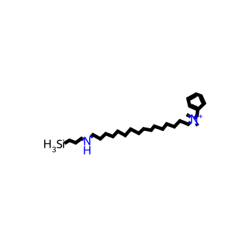 C[N+](C)(CCCCCCCCCCCCCCCCNCCC[SiH3])Cc1ccccc1